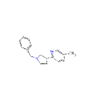 Cc1ccc(C2CCN(Cc3ccccc3)C2)nc1